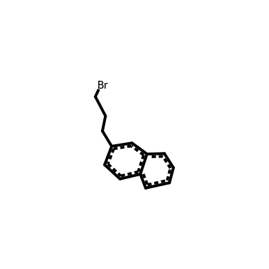 BrCCCc1ccc2ccccc2c1